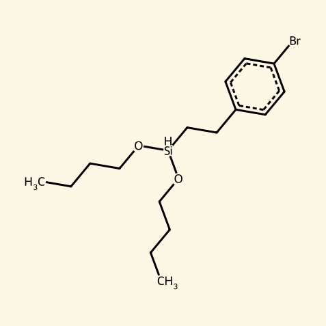 CCCCO[SiH](CCc1ccc(Br)cc1)OCCCC